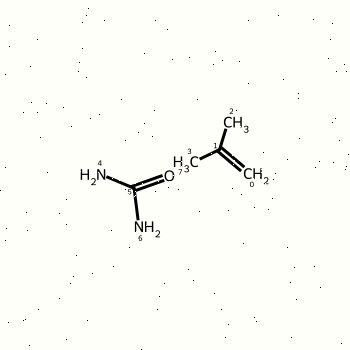 C=C(C)C.NC(N)=O